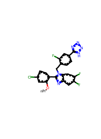 CCCOc1cc(Cl)ccc1-c1nc2cc(F)c(F)cc2n1Cc1ccc(-c2nnn[nH]2)cc1F